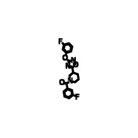 O=C(c1cccc(F)c1)N1CCCC(c2nc(Oc3cccc(F)c3)no2)C1